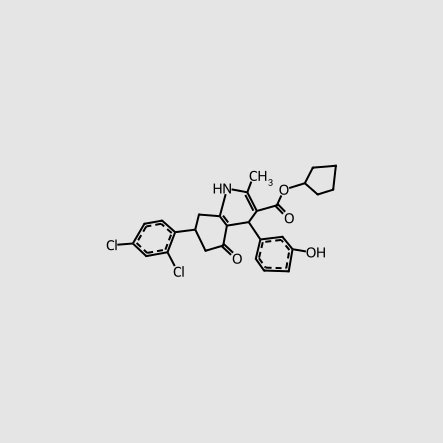 CC1=C(C(=O)OC2CCCC2)C(c2cccc(O)c2)C2=C(CC(c3ccc(Cl)cc3Cl)CC2=O)N1